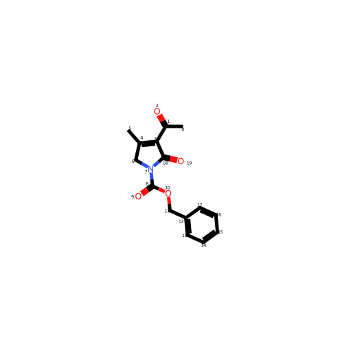 CC(=O)C1=C(C)CN(C(=O)OCc2ccccc2)C1=O